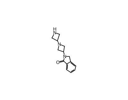 O=C1c2ccccc2CN1C1CN(C2CNC2)C1